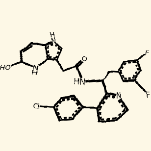 O=C(Cc1c[nH]c2c1NC(O)C=C2)N[C@@H](Cc1cc(F)cc(F)c1)c1ncccc1-c1ccc(Cl)cc1